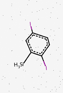 [SiH3]c1cc(I)ccc1I